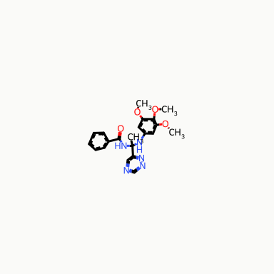 COc1cc(NC(C)(NC(=O)c2ccccc2)c2cncnn2)cc(OC)c1OC